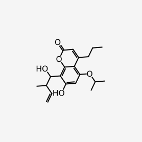 C=CC(C)C(O)c1c(O)cc(OC(C)C)c2c(CCC)cc(=O)oc12